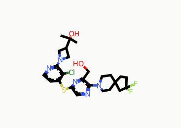 CC(C)(O)C1CN(c2nccc(Sc3cnc(N4CCC5(CC4)CCC(F)(F)C5)c(CO)n3)c2Cl)C1